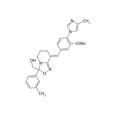 COc1cc(/C=C2\CCCN3C2=NOC3(CO)c2cccc(C)c2)ccc1-n1cnc(C)c1